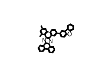 Cc1cc(C)c(-c2nc3c4ccccc4c4ccccc4c3nc2-c2cccc(-c3ccc4oc5ccccc5c4c3)c2)c(C)c1